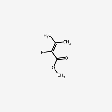 COC(=O)C(F)=C(C)C